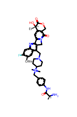 CC[C@@]1(O)C(=O)OCc2c1cc1n(c2=O)Cc2c-1nc1cc(F)c(OC)cc1c2CN1CCC([N+](C)(C)Cc2ccc(NC(=O)[C@H](C)N)cc2)CC1